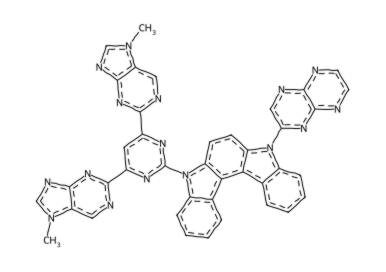 Cn1cnc2nc(-c3cc(-c4ncc5c(ncn5C)n4)nc(-n4c5ccccc5c5c6c7ccccc7n(-c7cnc8nccnc8n7)c6ccc54)n3)ncc21